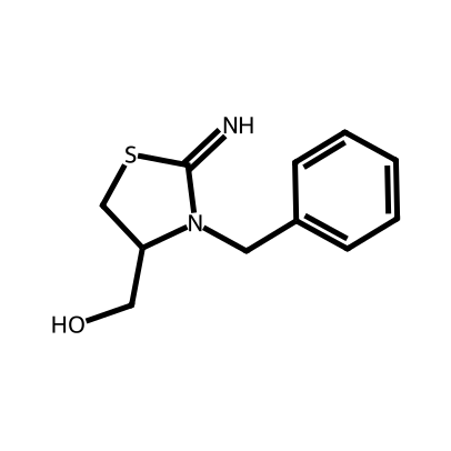 N=C1SCC(CO)N1Cc1ccccc1